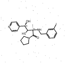 C[C@](NCc1cccc(I)c1)(C(=O)N1CCCC1)C(S)[C@H](O)c1ccncc1